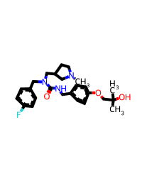 CN1CCC(CN(Cc2ccc(F)cc2)C(=O)NCc2ccc(OCC(C)(C)O)cc2)C1